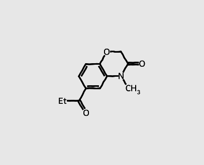 CCC(=O)c1ccc2c(c1)N(C)C(=O)CO2